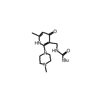 Cc1cc(=O)c(CNC(=O)C(C)(C)C)c(N2CCN(C)CC2)[nH]1